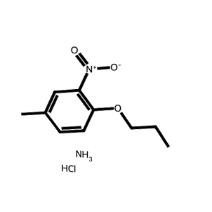 CCCOc1ccc(C)cc1[N+](=O)[O-].Cl.N